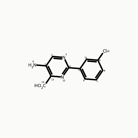 Nc1cnc(-c2cccc(Cl)c2)nc1C(=O)O